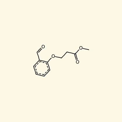 COC(=O)CCOc1ccccc1C=O